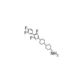 NCC1CCC(C2CCC(c3cc(F)c(-c4ccc(F)c(F)c4)c(F)c3)CC2)CC1